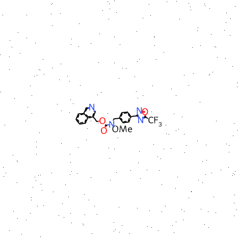 CON(Cc1ccc(-c2noc(C(F)(F)F)n2)cc1)C(=O)OCc1cncc2ccccc12